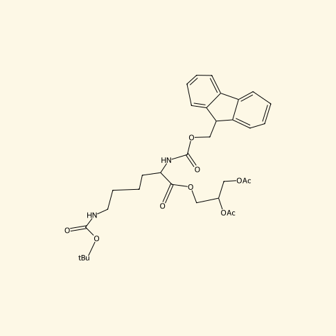 CC(=O)OCC(COC(=O)C(CCCCNC(=O)OC(C)(C)C)NC(=O)OCC1c2ccccc2-c2ccccc21)OC(C)=O